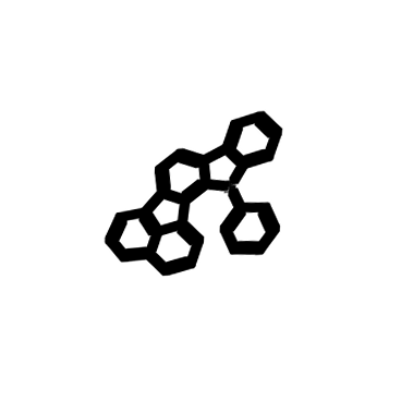 c1ccc(-n2c3ccccc3c3ccc4c(c32)-c2cccc3cccc-4c23)cc1